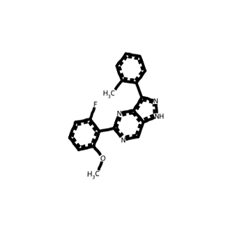 COc1cccc(F)c1-c1ncc2[nH]nc(-c3ccccc3C)c2n1